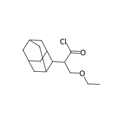 CCOCC(C(=O)Cl)C1C2CC3CC(C2)CC1C3